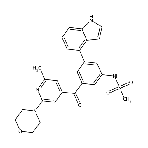 Cc1cc(C(=O)c2cc(NS(C)(=O)=O)cc(-c3cccc4[nH]ccc34)c2)cc(N2CCOCC2)n1